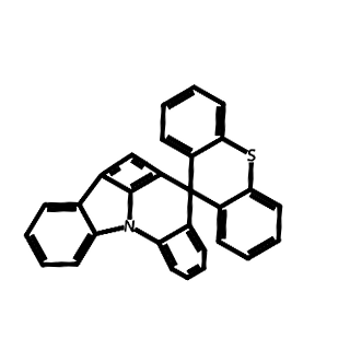 c1ccc2c(c1)Sc1ccccc1C21c2ccccc2-n2c3ccccc3c3cccc1c32